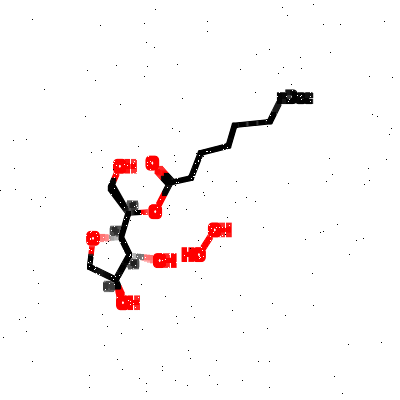 CCCCCCCCCCCCCCCC(=O)O[C@H](CO)[C@H]1OC[C@H](O)[C@H]1O.OO